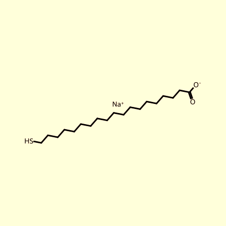 O=C([O-])CCCCCCCCCCCCCCCCCCS.[Na+]